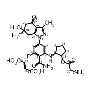 Cc1nn(-c2cc(F)c(C(N)=O)c(NC3CCCC3OC(=O)CN)c2)c2c1C(=O)CC(C)(C)C2.O=C(O)C=CC(=O)O